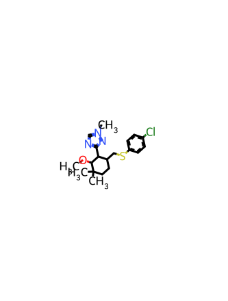 COC1C(c2ncn(C)n2)C(CSc2ccc(Cl)cc2)CCC1(C)C